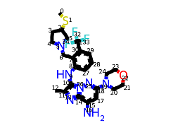 CSC1CCN(Cc2c(Nc3c(C)nc4c(N)cc(N5CCOCC5)nn34)cccc2C(F)(F)F)C1